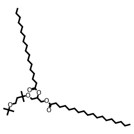 CCCCCCCCCCCCCCCCCC(=O)OCC(COC(C)(C)CCOC(C)(C)C)OC(=O)CCCCCCCCCCCCCCCCC